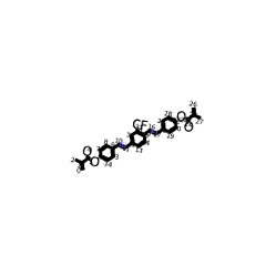 C=C(C)C(=O)Oc1ccc(/C=C/c2ccc(/C=C/c3ccc(OC(=O)C(=C)C)cc3)c(C(F)(F)F)c2)cc1